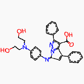 O=C(O)c1c(-c2ccccc2)nn2c1C(c1ccccc1)=CC2=Nc1ccc(N(CCO)CCO)cc1